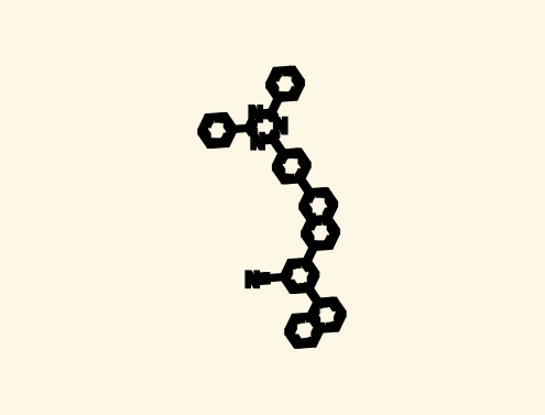 N#Cc1cc(-c2ccc3ccc(-c4ccc(-c5nc(-c6ccccc6)nc(-c6ccccc6)n5)cc4)cc3c2)cc(-c2cccc3ccccc23)c1